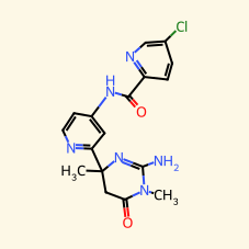 CN1C(=O)CC(C)(c2cc(NC(=O)c3ccc(Cl)cn3)ccn2)N=C1N